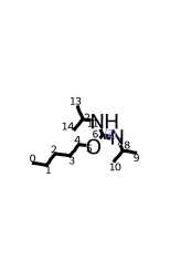 CCCCCO/C(=N\C(C)C)NC(C)C